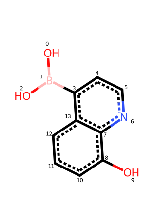 OB(O)c1ccnc2c(O)cccc12